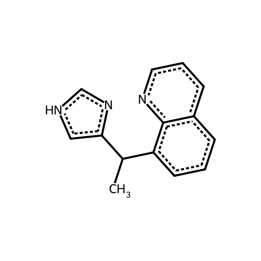 CC(c1c[nH]cn1)c1cccc2cccnc12